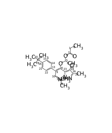 CCC(=O)OC(C)O/C(=C(/C=N\C)c1ccc(C(C)(C)C)cc1)c1c(Cl)c(C)nn1CC